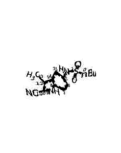 CCCCS(=O)(=O)Nc1ccc2[nH]c(C#N)c(C)c2c1